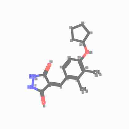 Cc1c(C=C2C(=O)NNC2=O)ccc(OC2CCCC2)c1C